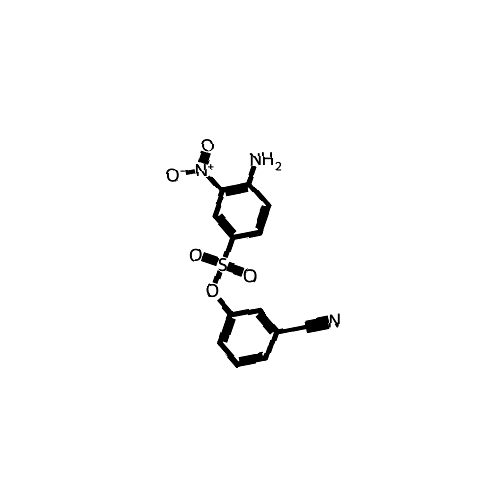 N#Cc1cccc(OS(=O)(=O)c2ccc(N)c([N+](=O)[O-])c2)c1